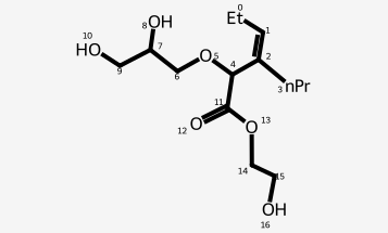 CCC=C(CCC)C(OCC(O)CO)C(=O)OCCO